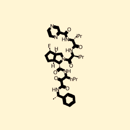 CCCC(NC(=O)[C@@H]1[C@H]2CC[C@H](F)[C@H]2CN1C(=O)[C@@H](NC(=O)[C@H](NC(=O)c1cnccn1)C(C)C)C(C)C)C(=O)C(=O)N[C@@H](C)c1ccccc1